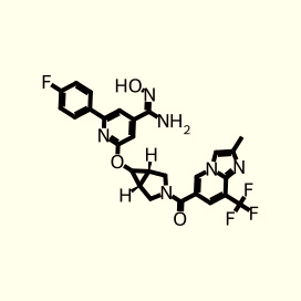 Cc1cn2cc(C(=O)N3C[C@@H]4C(Oc5cc(/C(N)=N\O)cc(-c6ccc(F)cc6)n5)[C@@H]4C3)cc(C(F)(F)F)c2n1